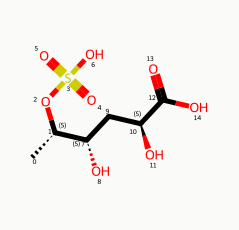 C[C@H](OS(=O)(=O)O)[C@@H](O)C[C@H](O)C(=O)O